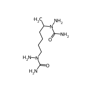 [CH2]C(CCCCN(N)C(N)=O)N(N)C(N)=O